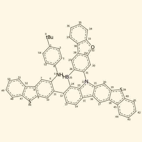 CC(C)(C)c1ccc(Nc2cc3c(cc2-c2ccc4c5cc6c(cc5n5c4c2Bc2cc4c(cc2-5)oc2ccccc24)sc2ccccc26)sc2ccccc23)cc1